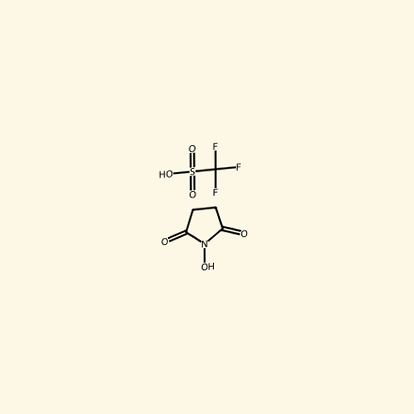 O=C1CCC(=O)N1O.O=S(=O)(O)C(F)(F)F